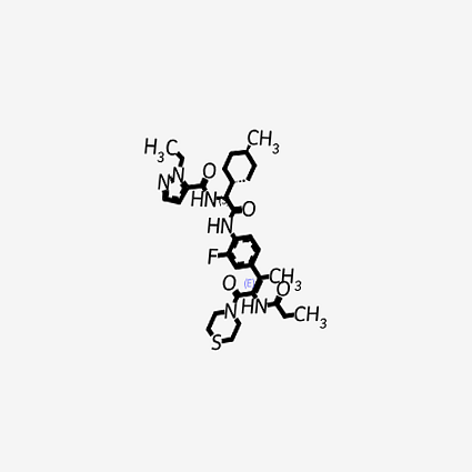 CCC(=O)N/C(C(=O)N1CCSCC1)=C(\C)c1ccc(NC(=O)[C@@H](NC(=O)c2ccnn2CC)[C@H]2CC[C@H](C)CC2)c(F)c1